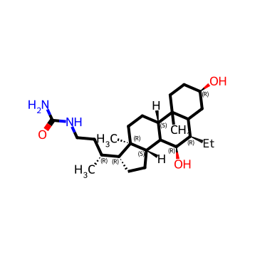 CC[C@@H]1C2C[C@H](O)CCC2(C)[C@H]2CC[C@]3(C)[C@@H]([C@H](C)CCNC(N)=O)CC[C@H]3C2[C@@H]1O